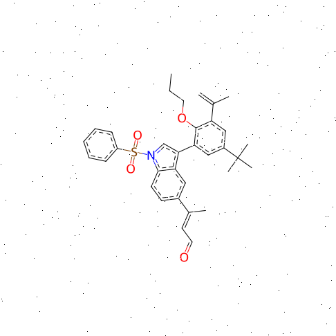 C=C(C)c1cc(C(C)(C)C)cc(-c2cn(S(=O)(=O)c3ccccc3)c3ccc(/C(C)=C/C=O)cc23)c1OCCC